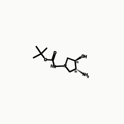 CC(C)(C)OC(=O)NN1C[C@@H](N)[C@H](O)C1